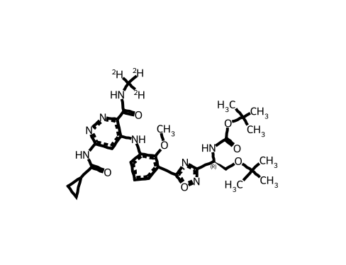 [2H]C([2H])([2H])NC(=O)c1nnc(NC(=O)C2CC2)cc1Nc1cccc(-c2nc([C@H](COC(C)(C)C)NC(=O)OC(C)(C)C)no2)c1OC